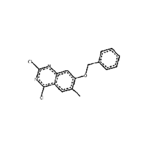 Cc1cc2c(Cl)nc(Cl)nc2cc1OCc1ccccc1